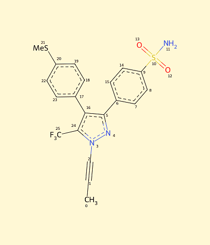 CC#Cn1nc(-c2ccc(S(N)(=O)=O)cc2)c(-c2ccc(SC)cc2)c1C(F)(F)F